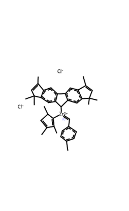 CC1=CC(C)[C](/[Zr+2](=[CH]\c2ccc(C)cc2)[CH]2c3cc4c(cc3-c3cc5c(cc32)C(C)(C)C=C5C)C(C)=CC4(C)C)=C1C.[Cl-].[Cl-]